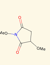 COC1CC(=O)N(OC)C1=O